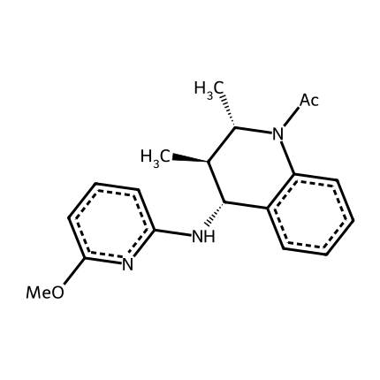 COc1cccc(N[C@H]2c3ccccc3N(C(C)=O)[C@@H](C)[C@@H]2C)n1